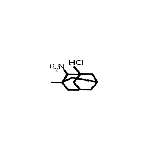 CC12CC3CC(C1)CC(C)(C3)C2N.Cl